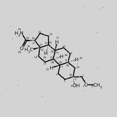 COC[C@@]1(O)CC[C@H]2[C@@H](CC[C@@H]3[C@@H]2CC[C@]2(C)[C@@H](C(N)=O)CC[C@@H]32)C1